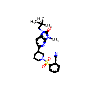 Cn1c(=O)n(CC(C)(C)C)c2ccc(C3CCCN(S(=O)(=O)c4ccccc4C#N)C3)nc21